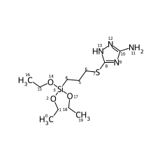 CCO[Si](CCCSc1nc(N)n[nH]1)(OCC)OCC